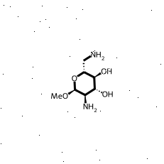 CO[C@H]1O[C@H](CN)[C@@H](O)[C@H](O)[C@H]1N